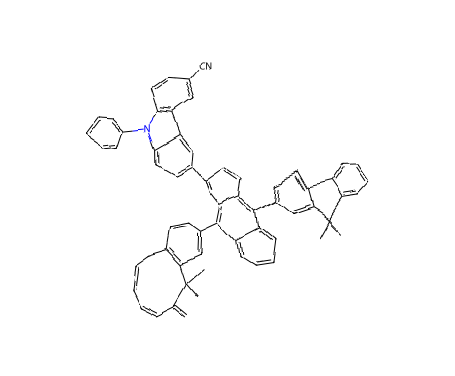 C=C1/C=C\C=C/Cc2ccc(-c3c4ccccc4c(-c4ccc5c(c4)C(C)(C)c4ccccc4-5)c4ccc(-c5ccc6c(c5)c5cc(C#N)ccc5n6-c5ccccc5)cc34)cc2C1(C)C